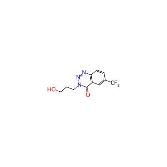 O=c1c2cc(C(F)(F)F)ccc2nnn1CCCO